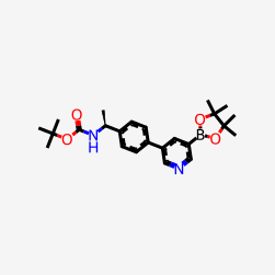 C[C@H](NC(=O)OC(C)(C)C)c1ccc(-c2cncc(B3OC(C)(C)C(C)(C)O3)c2)cc1